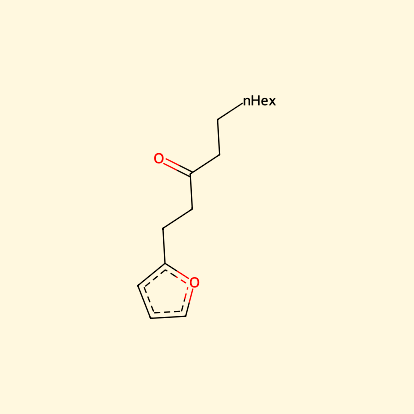 CCCCCCCCC(=O)CCc1ccco1